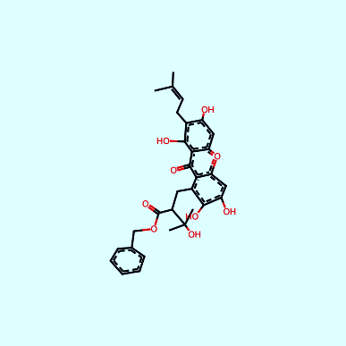 CC(C)=CCc1c(O)cc2oc3cc(O)c(O)c(CC(C(=O)OCc4ccccc4)C(C)(C)O)c3c(=O)c2c1O